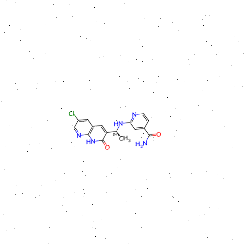 C[C@H](Nc1cc(C(N)=O)ccn1)c1cc2cc(Cl)cnc2[nH]c1=O